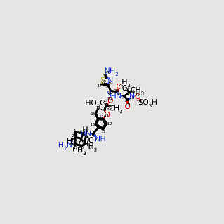 C[C@@H]1[C@H]2C[C@@H]1[C@](C)(NC(=N)c1ccc3c(c1)CC[C@H]([C@](C)(O/N=C(\C(=O)N[C@@H]1C(=O)N(OS(=O)(=O)O)C1(C)C)c1csc(N)n1)C(=O)O)O3)CCC2(C)N